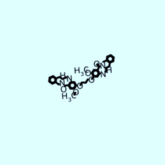 COc1cc2c(cc1OCCCOc1cc3c(cc1OC)C(=O)N1Cc4ccccc4C[C@H]1C=N3)N=C[C@@H]1Cc3ccccc3CN1C2=O